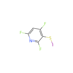 Fc1cc(F)c(SI)c(F)n1